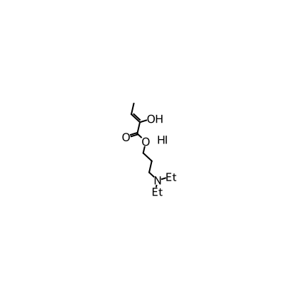 CC=C(O)C(=O)OCCCN(CC)CC.I